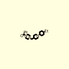 CC[C@H]1CC[C@H](N2CCC(CN3CCN(C(=O)C(C)C)CC3)CC2)CC1